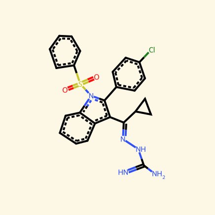 N=C(N)NN=C(c1c(-c2ccc(Cl)cc2)n(S(=O)(=O)c2ccccc2)c2ccccc12)C1CC1